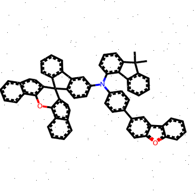 CC1(C)c2ccccc2-c2c(N(c3ccc(-c4ccc5oc6ccccc6c5c4)cc3)c3ccc4c(c3)-c3ccccc3C43c4ccc5ccccc5c4Oc4c3ccc3ccccc43)cccc21